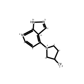 FC(F)(F)C1CCN(c2ccnc3[nH]ncc23)C1